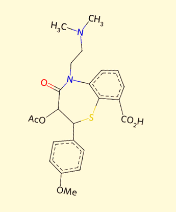 COc1ccc(C2Sc3c(C(=O)O)cccc3N(CCN(C)C)C(=O)C2OC(C)=O)cc1